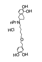 CCCN(CCCCCCOCCc1ccc(O)c(O)c1)C1CCc2c(ccc(O)c2O)C1.Cl